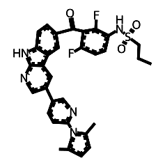 CCCS(=O)(=O)Nc1ccc(F)c(C(=O)c2ccc3[nH]c4ncc(-c5ccc(-n6c(C)ccc6C)nc5)cc4c3c2)c1F